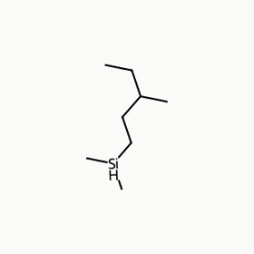 CCC(C)CC[SiH](C)C